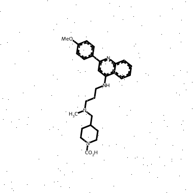 COc1ccc(-c2cc(NCCCN(C)CC3CCN(C(=O)O)CC3)c3ccccc3n2)cc1